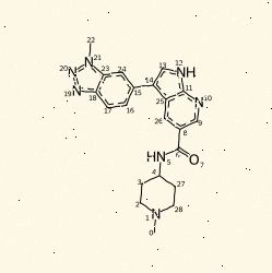 CN1CCC(NC(=O)c2cnc3[nH]cc(-c4ccc5nnn(C)c5c4)c3c2)CC1